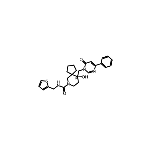 O=C(NCc1cccs1)N1CC[C@@](O)(Cn2cnc(-c3ccccc3)cc2=O)C2(CCCC2)C1